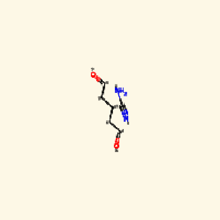 N#CN.O=CCCCC=O